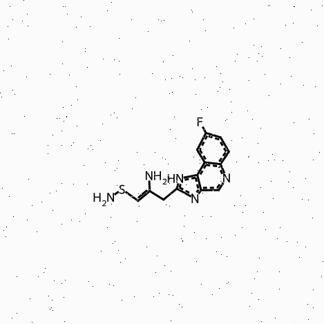 NS/C=C(\N)Cc1nc2cnc3ccc(F)cc3c2[nH]1